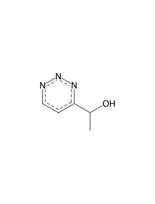 CC(O)c1ccnnn1